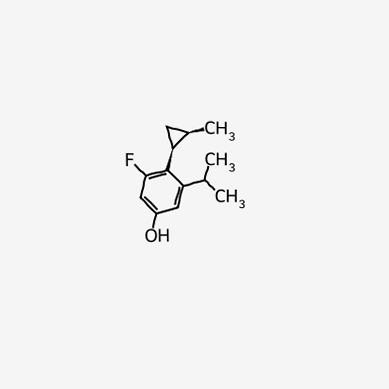 CC(C)c1cc(O)cc(F)c1[C@H]1C[C@H]1C